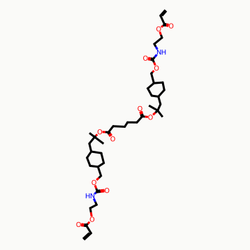 C=CC(=O)OCCNC(=O)OCC1CCC(CC(C)(C)OC(=O)CCCCC(=O)OC(C)(C)CC2CCC(COC(=O)NCCOC(=O)C=C)CC2)CC1